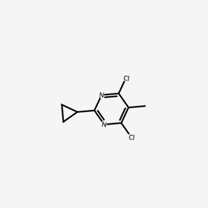 Cc1c(Cl)nc(C2CC2)nc1Cl